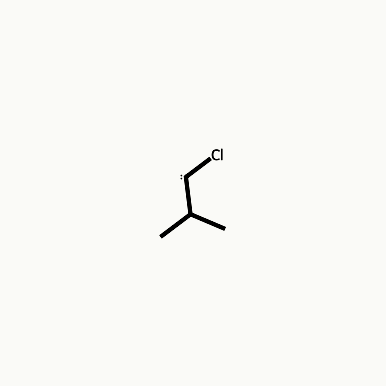 CC(C)[C]Cl